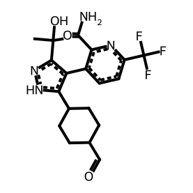 CC(C)(O)c1n[nH]c(C2CCC(C=O)CC2)c1-c1ccc(C(F)(F)F)nc1C(N)=O